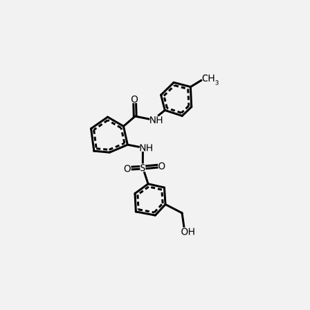 Cc1ccc(NC(=O)c2ccccc2NS(=O)(=O)c2cccc(CO)c2)cc1